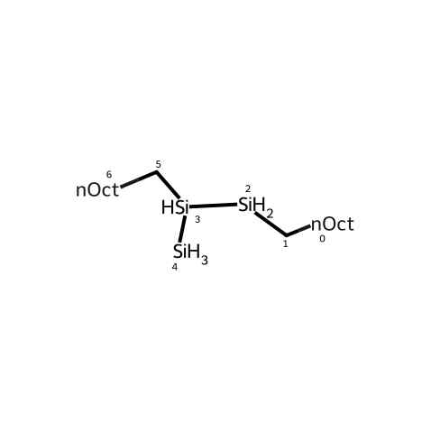 CCCCCCCCC[SiH2][SiH]([SiH3])CCCCCCCCC